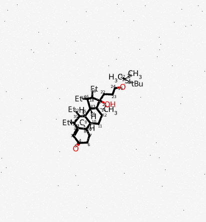 CCC1C2=CC(=O)CC[C@]2(C)[C@@H]2CC[C@@]3(C)[C@@H](C(CC)C(CC)C3(O)CCCO[Si](C)(C)C(C)(C)C)[C@@H]2C1CC